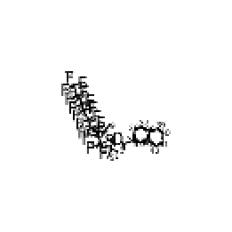 CC(O[Si](C(C)C)(C(C)C)C(F)(F)C(F)(F)C(F)(F)C(F)(F)C(F)(F)C(F)(F)C(F)(F)C(F)(F)F)c1ccc2ccccc2c1